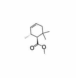 COC(=O)[C@H]1[C@H](C)C=CCC1(C)C